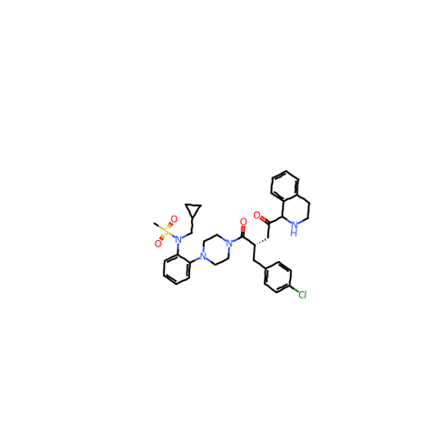 CS(=O)(=O)N(CC1CC1)c1ccccc1N1CCN(C(=O)[C@H](CC(=O)C2NCCc3ccccc32)Cc2ccc(Cl)cc2)CC1